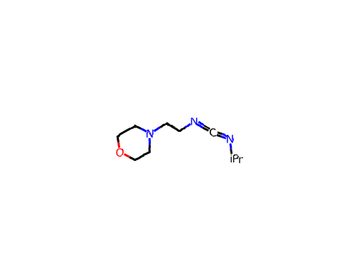 CC(C)N=C=NCCN1CCOCC1